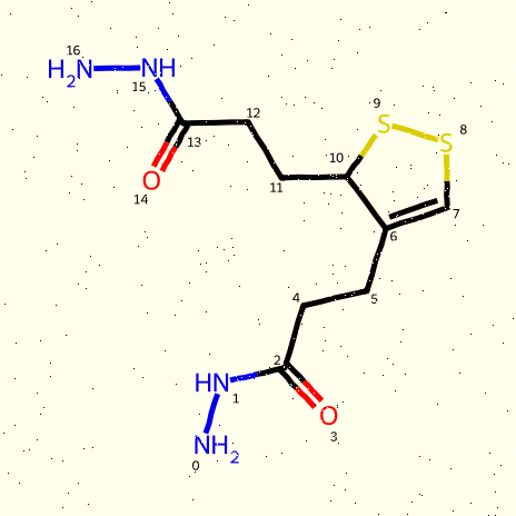 NNC(=O)CCC1=CSSC1CCC(=O)NN